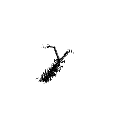 CCCCCCCC/C=C\CCCCCCCCCCCCCCCC(=O)N[C@@H](CO[C@@H]1OC(CO)[C@@H](O[C@@H]2OC(CO)[C@H](O[C@@H]3OC(CO)[C@H](O)[C@H](O[C@H]4OC(CO)[C@H](O)[C@H](O[C@H]5OC(CO)[C@H](O)[C@H](O[C@H]6OC(CO)[C@H](O)[C@H](O[C@@H]7OC(CO)[C@H](O)[C@H](O)C7NC(C)=O)C6O)C5O)C4O)C3O)[C@H](O)C2O)[C@H](O)C1O)[C@H](O)/C=C/CCCCCCCCCCCCC